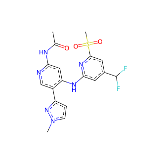 CC(=O)Nc1cc(Nc2cc(C(F)F)cc(S(C)(=O)=O)n2)c(-c2ccn(C)n2)cn1